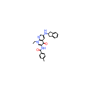 CCn1cc(NC(=O)c2ccc(C)cc2)c(=O)c2cc(NC3Cc4ccccc4C3)cnc21